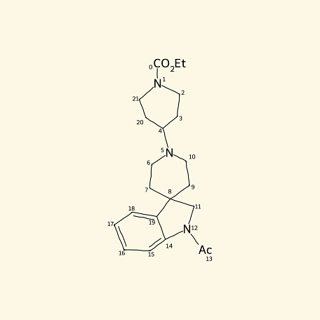 CCOC(=O)N1CCC(N2CCC3(CC2)CN(C(C)=O)c2ccccc23)CC1